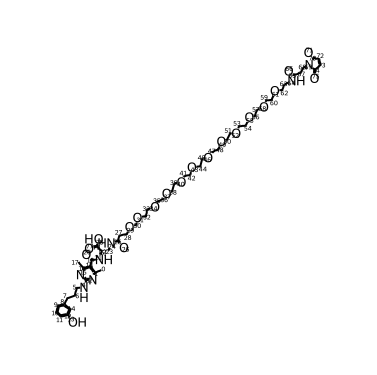 Cc1nc(NCCCc2cccc(O)c2)nc(C)c1C(=O)N[C@@H](CNC(=O)CCOCOCCOCCOCCOCCOCCOCCOCCOCCOCCOCCOCCNC(=O)CCN1C(=O)C=CC1=O)C(=O)O